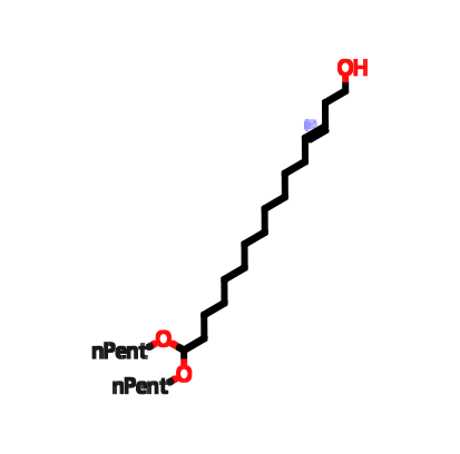 CCCCCOC(CCCCCCCCCCC/C=C/CCO)OCCCCC